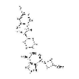 COC1CN(C(=O)c2nc[nH]c2C(=O)N[C@H]2CC[C@H](C(=O)Nc3ccc(F)cc3Cl)CC2)C1